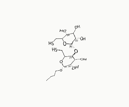 CCCCO[C@@H]1OC(CS)[C@@H](O[C@@H]2OC(CS)[C@H](O)C(O)[C@@H]2O)C(O)[C@@H]1O